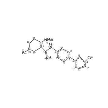 CNC1=C(C(=N)Nc2ccc(-c3cccc(Cl)c3)cc2)CN(C(C)=O)CC1